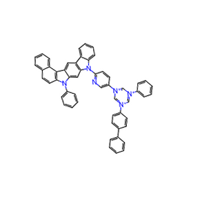 c1ccc(-c2ccc(-[n+]3c[n+](-c4ccccc4)c[n+](-c4ccc(-n5c6ccccc6c6cc7c8c9ccccc9ccc8n(-c8ccccc8)c7cc65)nc4)c3)cc2)cc1